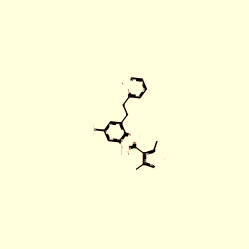 Cc1coc(C)c1-c1nc2cc(Cl)cc(CCc3ccccn3)c2o1